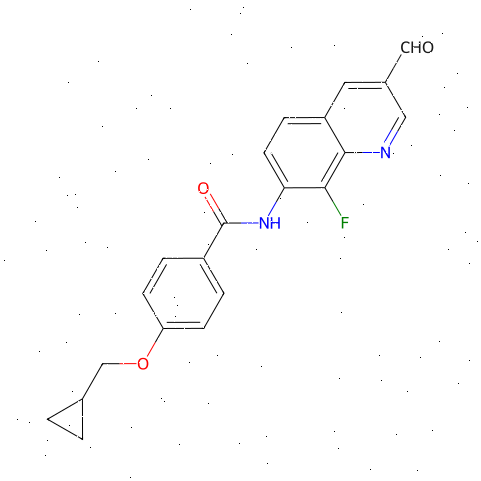 O=Cc1cnc2c(F)c(NC(=O)c3ccc(OCC4CC4)cc3)ccc2c1